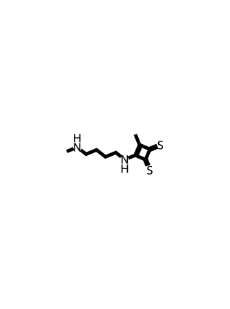 CNCCCCNc1c(C)c(=S)c1=S